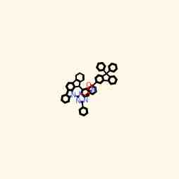 C1=CC2=C(CC1)c1ccc3c4ccccc4n(-c4nc(-c5ccccc5)nc(-c5ccccc5)n4)c3c1C2c1cccc2nc(-c3ccc4c(c3)-c3ccccc3C4(c3ccccc3)c3ccccc3)oc12